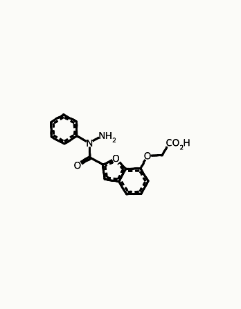 NN(C(=O)c1cc2cccc(OCC(=O)O)c2o1)c1ccccc1